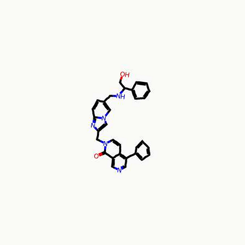 O=c1c2cncc(-c3ccccc3)c2ccn1Cc1cn2cc(CNC(CO)c3ccccc3)ccc2n1